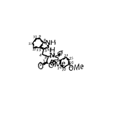 COC(=O)C(Cc1c[nH]c2ccccc12)NS(=O)(=O)c1ccc(OC)cc1